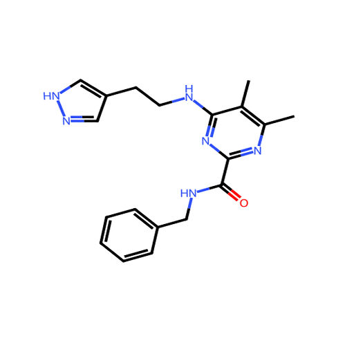 Cc1nc(C(=O)NCc2ccccc2)nc(NCCc2cn[nH]c2)c1C